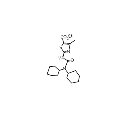 CCOC(=O)c1sc(NC(=O)N(C2CCCCC2)C2CCCCC2)nc1C